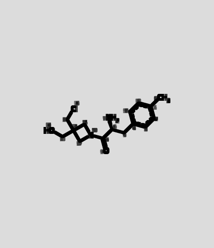 Cc1ccc(C[C@H](N)C(=O)N2CC(CO)(CCl)C2)cc1